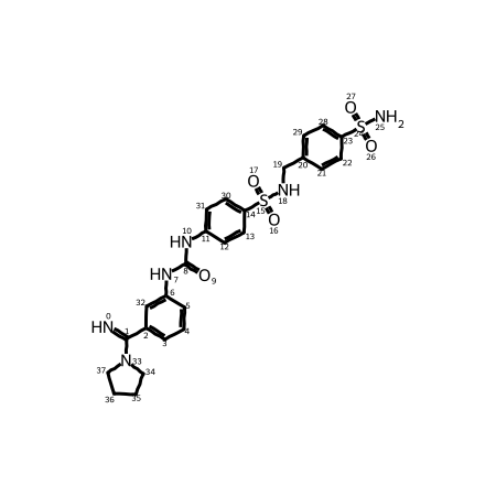 N=C(c1cccc(NC(=O)Nc2ccc(S(=O)(=O)NCc3ccc(S(N)(=O)=O)cc3)cc2)c1)N1CCCC1